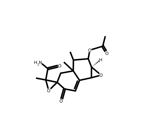 CC(=O)OC1C(C)C2(C)CC3(OC3(C)C(N)=O)C(=O)C=C2C2O[C@@H]21